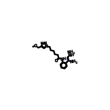 COCc1cn(CCCCCC(=O)Nc2ccccc2/C(N)=C/NN)nn1